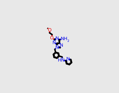 COCCOc1nc(N)c2ncn(Cc3cccc(CNc4ccccn4)c3)c2n1